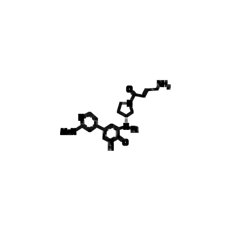 CCN(c1cc(-c2ccnc(NC)c2)c[nH]c1=O)[C@@H]1CCN(C(=O)C=CCN)C1